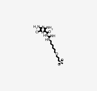 CS(=O)(=O)CCCOCCCCCCNC(=N)NC(=O)c1nc(Cl)c(N)nc1N